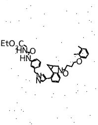 CCOC(=O)CNC(=O)Nc1cccc(Cn2cc(-c3cccc4c3C3CC3CN4C(=O)CCCOc3cccc(C)c3C)cn2)c1